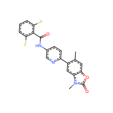 Cc1cc2oc(=O)n(C)c2cc1-c1ccc(NC(=O)c2c(F)cccc2F)cn1